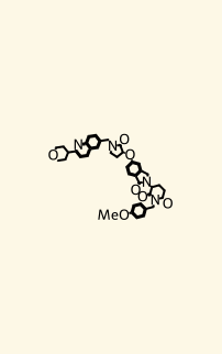 COc1ccc(CN2C(=O)CCC(N3Cc4cc(O[C@H]5CCN(Cc6ccc7nc(C8CCOCC8)ccc7c6)C5=O)ccc4C3=O)C2=O)cc1